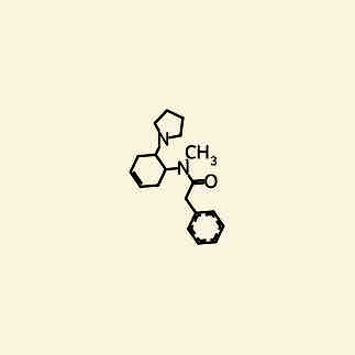 CN(C(=O)Cc1ccccc1)C1CC=CCC1N1CCCC1